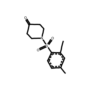 Cc1ccc(S(=O)(=O)N2CCC(=O)CC2)c(C)c1